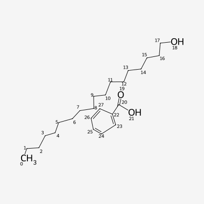 CCCCCCCCCCCCCCCCCCO.O=C(O)c1ccccc1